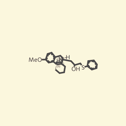 COc1ccc2c(c1)[C@]13CCCC[C@@H]1[C@H](C2)N(CC(O)CSc1ccccc1)CC3